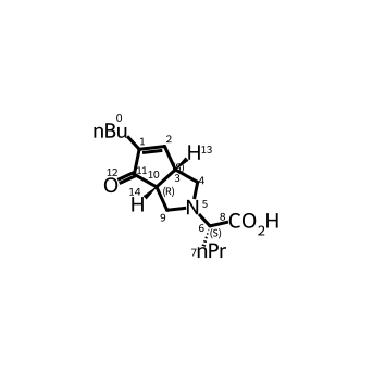 CCCCC1=C[C@@H]2CN([C@@H](CCC)C(=O)O)C[C@@H]2C1=O